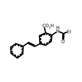 CCC(=O)Nc1ccc(C=Cc2ccccc2)cc1C(=O)O